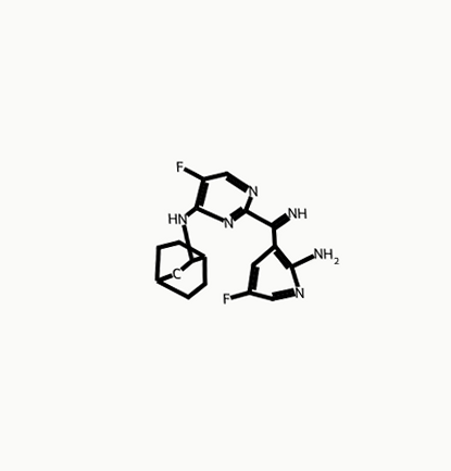 N=C(c1ncc(F)c(NC2CC3CCC2CC3)n1)c1cc(F)cnc1N